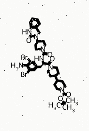 CC(C)(C)OC(=O)N1CCC(C2CCN(C(=O)[C@@H](Cc3cc(Br)c(N)c(Br)c3)NC(=O)N3CCC(N4Cc5ccccc5NC4=O)CC3)CC2)CC1